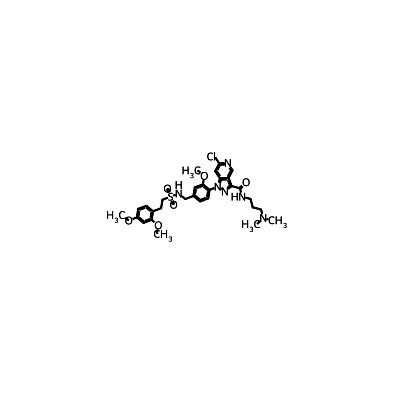 COc1ccc(CCS(=O)(=O)NCc2ccc(-n3nc(C(=O)NCCCN(C)C)c4cnc(Cl)cc43)c(OC)c2)c(OC)c1